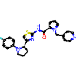 O=C(Nc1nc([C@H]2CCCN2c2ccc(F)cc2)cs1)c1cccn1Cc1ccncc1